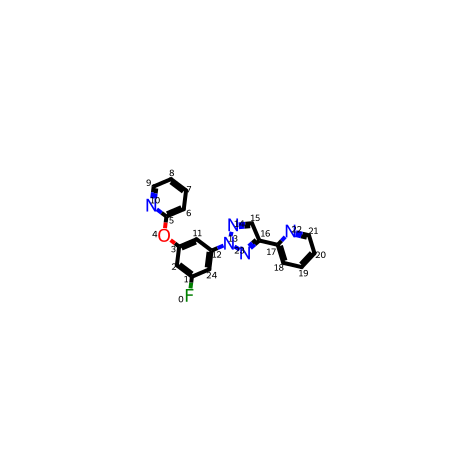 Fc1cc(Oc2ccccn2)cc(-n2ncc(-c3ccccn3)n2)c1